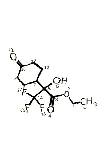 CCOC(=O)C(O)(C1CCC(=O)CC1)C(F)(F)F